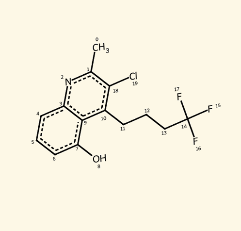 Cc1nc2cccc(O)c2c(CCCC(F)(F)F)c1Cl